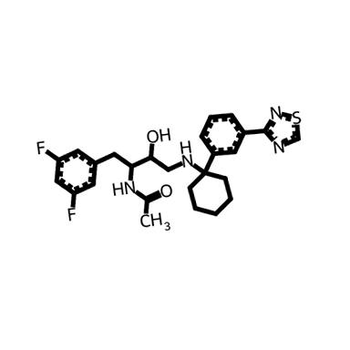 CC(=O)NC(Cc1cc(F)cc(F)c1)C(O)CNC1(c2cccc(-c3ncsn3)c2)CCCCC1